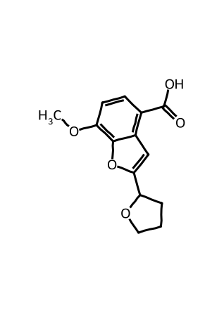 COc1ccc(C(=O)O)c2cc(C3CCCO3)oc12